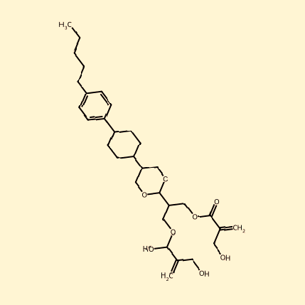 C=C(CO)C(=O)OCC(COC(O)C(=C)CO)C1OCC(C2CCC(c3ccc(CCCCC)cc3)CC2)CO1